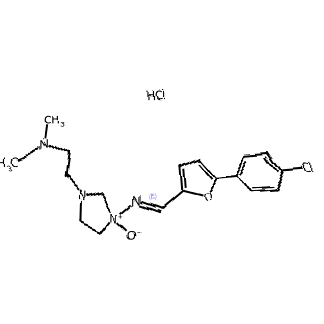 CN(C)CCN1CC[N+]([O-])(/N=C/c2ccc(-c3ccc(Cl)cc3)o2)C1.Cl